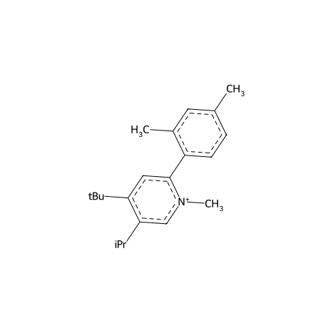 Cc1ccc(-c2cc(C(C)(C)C)c(C(C)C)c[n+]2C)c(C)c1